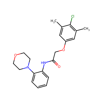 Cc1cc(OCC(=O)Nc2ccccc2N2CCOCC2)cc(C)c1Cl